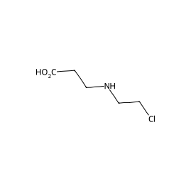 O=C(O)CCNCCCl